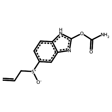 C=CC[S+]([O-])c1ccc2[nH]c(OC(N)=O)nc2c1